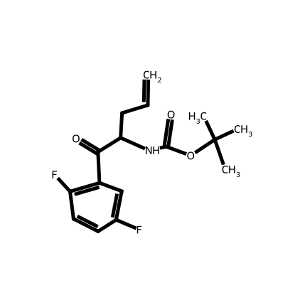 C=CCC(NC(=O)OC(C)(C)C)C(=O)c1cc(F)ccc1F